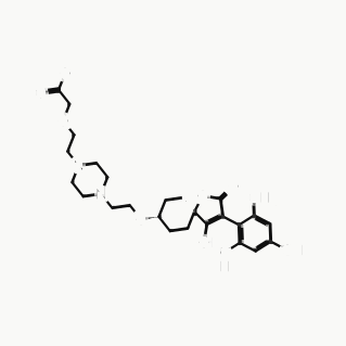 Cc1cc(C)c(C2=C(O)[C@]3(CC[C@H](OCCN4CCN(CCOCC(=O)O)CC4)CC3)OC2=O)c(C)c1